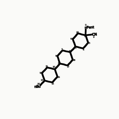 CCCCCC1(C#N)CCC(C2CCC(C3CCC(CCCC)CC3)CC2)CC1